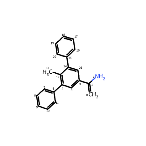 C=C(N)c1cc(-c2ccccc2)c(C)c(-c2ccccc2)c1